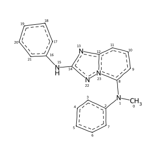 CN(c1ccccc1)c1cccc2nc(Nc3ccccc3)nn12